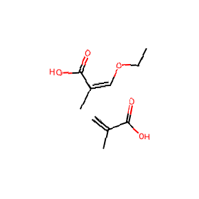 C=C(C)C(=O)O.CCOC=C(C)C(=O)O